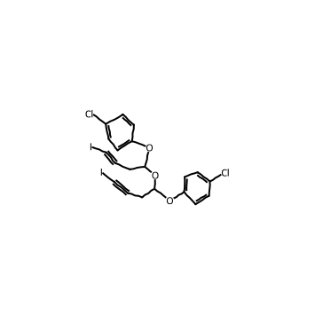 Clc1ccc(OC(CC#CI)OC(CC#CI)Oc2ccc(Cl)cc2)cc1